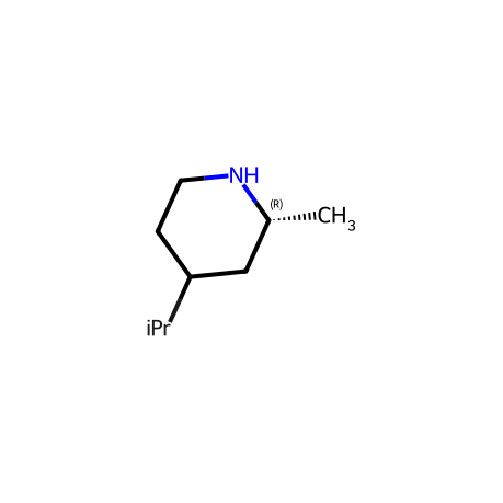 CC(C)C1CCN[C@H](C)C1